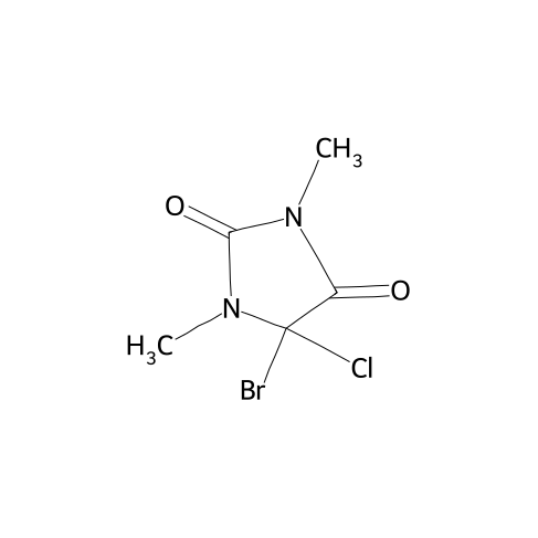 CN1C(=O)N(C)C(Cl)(Br)C1=O